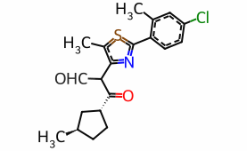 Cc1cc(Cl)ccc1-c1nc(C(C=O)C(=O)[C@@H]2CC[C@@H](C)C2)c(C)s1